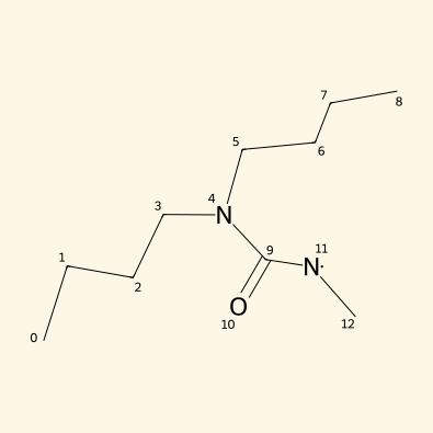 CCCCN(CCCC)C(=O)[N]C